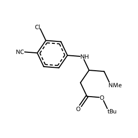 CNCC(CC(=O)OC(C)(C)C)Nc1ccc(C#N)c(Cl)c1